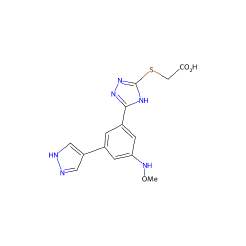 CONc1cc(-c2cn[nH]c2)cc(-c2nnc(SCC(=O)O)[nH]2)c1